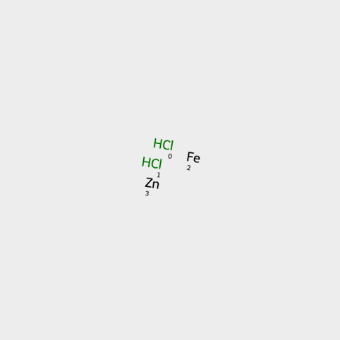 Cl.Cl.[Fe].[Zn]